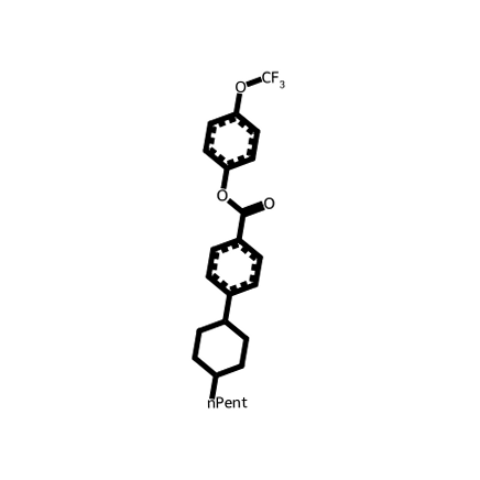 CCCCCC1CCC(c2ccc(C(=O)Oc3ccc(OC(F)(F)F)cc3)cc2)CC1